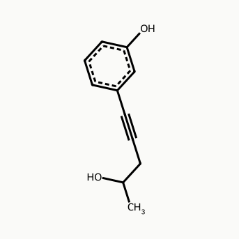 CC(O)CC#Cc1cccc(O)c1